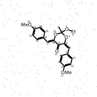 CCOC1(C)OC(=Cc2ccc(OC)cc2)C(=O)C(=Cc2ccc(OC)cc2)O1